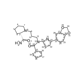 NC(=O)[C@@H]1CCCCN1CCCN(C(=O)c1cccs1)c1nc(-c2ccc3c(c2)OCO3)cs1